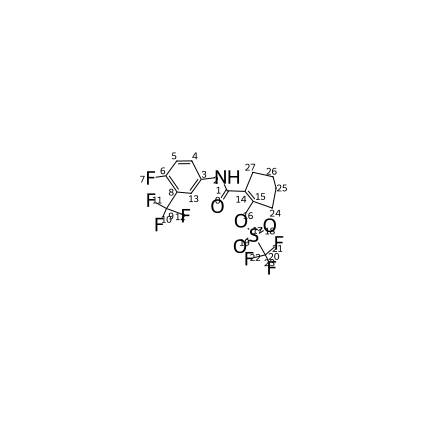 O=C(Nc1ccc(F)c(C(F)(F)F)c1)C1=C(OS(=O)(=O)C(F)(F)F)CCCC1